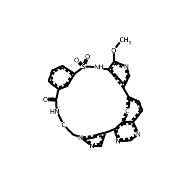 COc1ncc2cc1NS(=O)(=O)c1cccc(c1)C(=O)NCCn1cc(cn1)-c1ncnc3ccc-2cc13